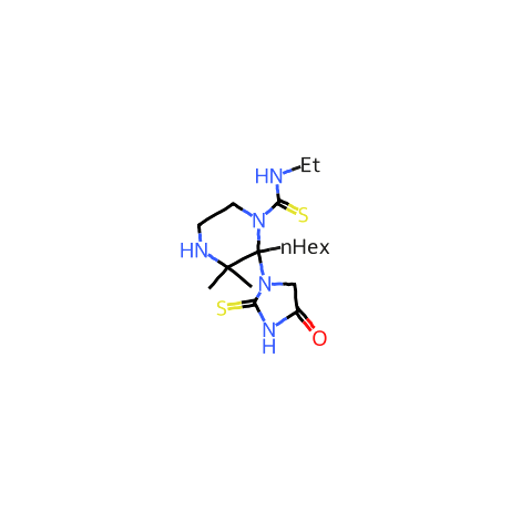 CCCCCCC1(N2CC(=O)NC2=S)N(C(=S)NCC)CCNC1(C)C